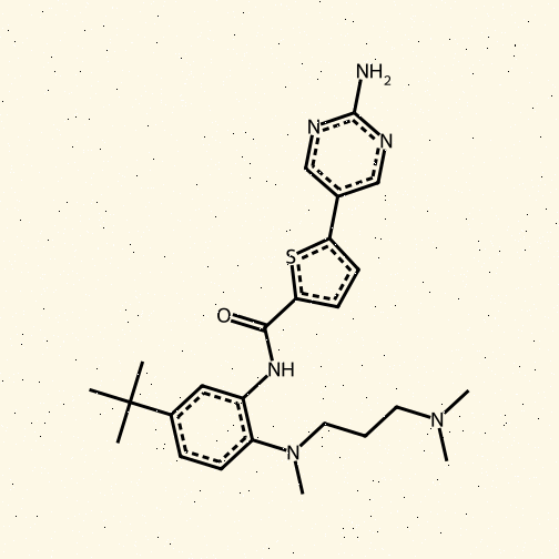 CN(C)CCCN(C)c1ccc(C(C)(C)C)cc1NC(=O)c1ccc(-c2cnc(N)nc2)s1